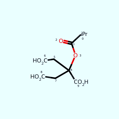 CC(C)C(=O)OC(CC(=O)O)(CC(=O)O)C(=O)O